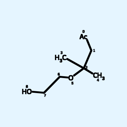 CC(=O)CC(C)(C)OCCO